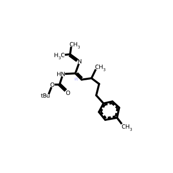 CC(C)=N/C(=C\C(C)CCc1ccc(C)cc1)NC(=O)OC(C)(C)C